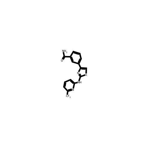 NC(=O)c1cccc(-c2csc(Nc3cccc(C(F)(F)F)n3)n2)c1